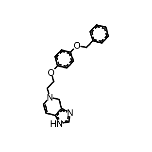 C1=CN(CCOc2ccc(OCc3ccccc3)cc2)Cc2nc[nH]c21